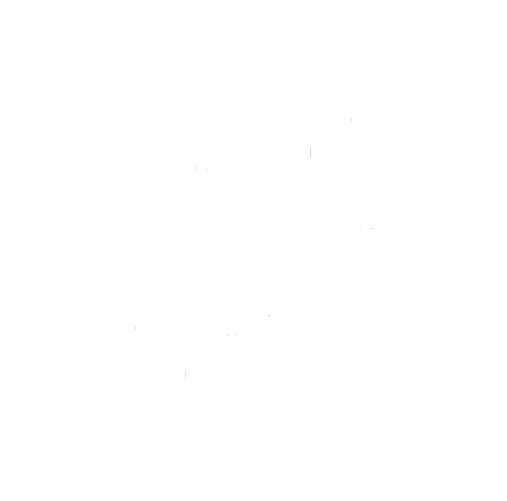 C=C(C)C(=O)OC1(CCOC(C)C(=O)OC(C(F)(F)F)C(F)(F)C(F)(F)F)CC2CCCC(C2)C1